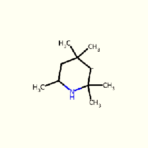 CC1CC(C)(C)[CH]C(C)(C)N1